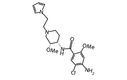 COc1cc(N)c(Cl)cc1C(=O)N[C@H]1CCN(CCn2cccc2)C[C@H]1OC